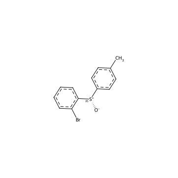 Cc1ccc([S@+]([O-])c2ccccc2Br)cc1